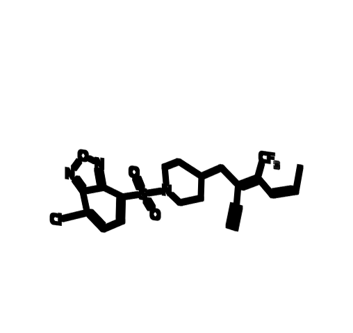 C#C/C(CC1CCN(S(=O)(=O)c2ccc(Cl)c3nonc23)CC1)=C(\C=C/C)C(F)(F)F